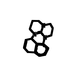 C1=CC2c3c(cccc3N3CCCN4CCC[N+]2=C43)C1